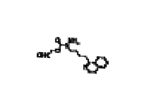 NN(CCCCc1nccc2ccccc12)C(=O)OCC=O